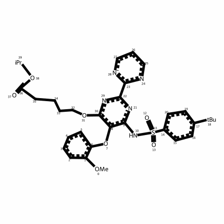 COc1ccccc1Oc1c(NS(=O)(=O)c2ccc(C(C)(C)C)cc2)nc(-c2ncccn2)nc1OCCCCC(=O)OC(C)C